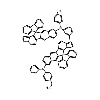 CCc1ccc(N(c2ccccc2)c2ccc3cc4c(cc3c2)C2(c3ccccc3-c3ccccc32)c2c-4ccc3c(-c4cccc(N(c5ccc(C)cc5)c5ccc6cc7c(cc6c5)C5(c6ccccc6-c6ccccc65)c5c-7ccc6ccccc56)c4)cccc23)cc1